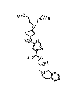 COCCN(CCOC)[C@H]1C[C@@H](Nc2cc(C(=O)NC[C@H](O)CN3CCc4ccccc4C3)ncn2)C1